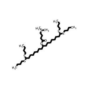 CCCCSC(CCCCCCCC(CCCCCCCC(SCCCC)SCCCC)OC(=O)CCCN(C)C)SCCCC